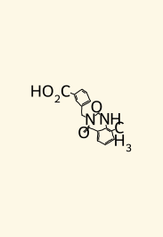 Cc1cccc2c(=O)n(Cc3cccc(C(=O)O)c3)c(=O)[nH]c12